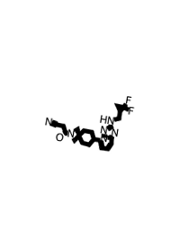 N#CCC(=O)N1CC2(CCC(c3cccc4nc(NCC5CC5(F)F)nn34)CC2)C1